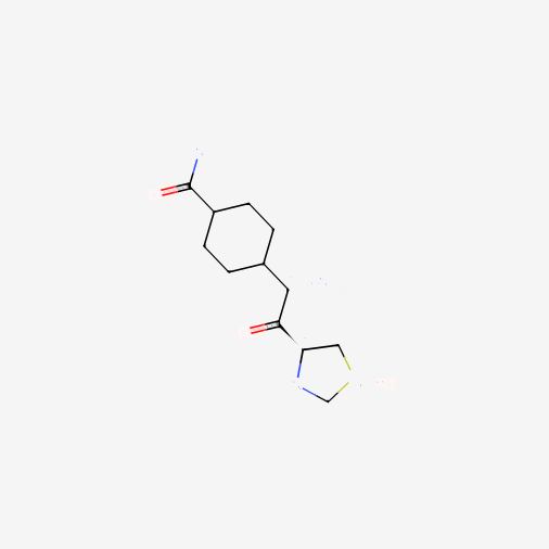 NC(=O)C1CCC([C@H](N)C(=O)[C@H]2C[S@+]([O-])CN2)CC1